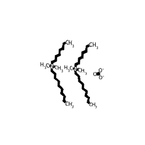 CCCCCCCCCC[N+](C)(C)CCCCCCCC.CCCCCCCCCC[N+](C)(C)CCCCCCCC.O=C([O-])[O-]